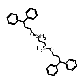 c1ccc(C(CCO[SiH2]CC[SiH2]OCCC(c2ccccc2)c2ccccc2)c2ccccc2)cc1